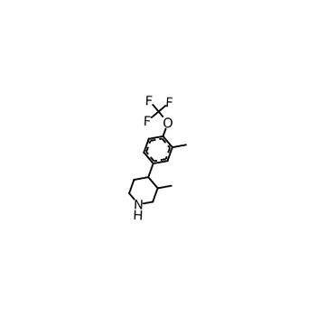 Cc1cc(C2CCNCC2C)ccc1OC(F)(F)F